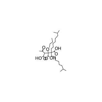 CCCCOC(C(=O)O)(C(C(C)=O)C(=O)O)C(CCCCCCC(C)C)(CCCCCCC(C)C)C(=O)O